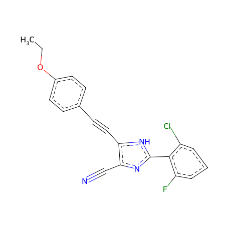 CCOc1ccc(C#Cc2[nH]c(-c3c(F)cccc3Cl)nc2C#N)cc1